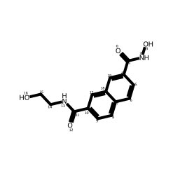 O=C(NO)c1ccc2ccc(C(=O)NCCO)cc2c1